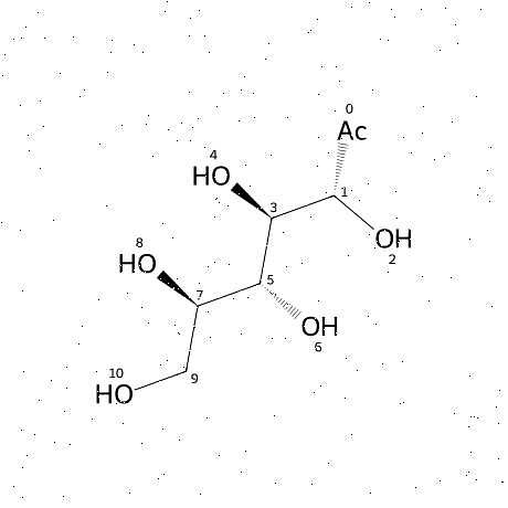 CC(=O)[C@H](O)[C@H](O)[C@H](O)[C@H](O)CO